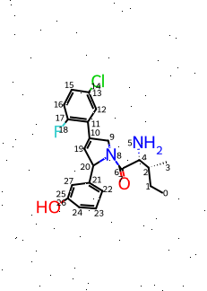 CC[C@@H](C)[C@@H](N)C(=O)N1CC(c2cc(Cl)ccc2F)=CC1c1cccc(O)c1